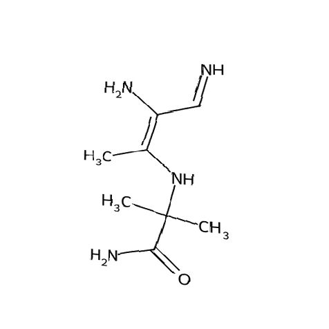 C/C(NC(C)(C)C(N)=O)=C(\N)C=N